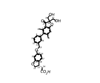 Cc1cc2c(c(C)c1-c1cccc(COc3ccc4c(c3)OC[C@H]4CC(=O)O)c1)C(=O)C(CO)(CO)O2